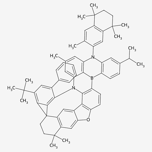 Cc1cc2c3c(c1)N1c4c(-c5ccccc5)cc(C(C)(C)C)c5c4C54CCC(C)(C)c5cc6oc7ccc(c1c7c6cc54)B3c1ccc(C(C)C)cc1N2c1cc2c(cc1C)C(C)(C)CCC2(C)C